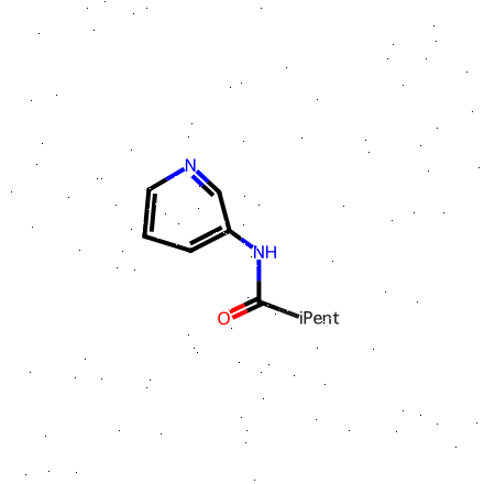 CCCC(C)C(=O)Nc1cccnc1